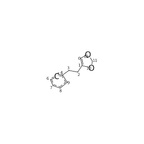 C1=C(CCc2ccccc2)OCO1